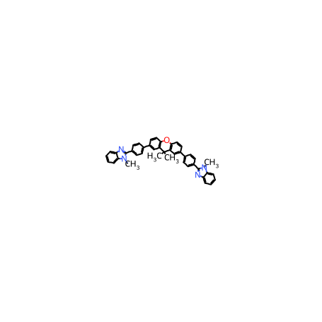 Cn1c(-c2ccc(-c3ccc4c(c3)C(C)(C)c3cc(-c5ccc(-c6nc7ccccc7n6C)cc5)ccc3O4)cc2)nc2ccccc21